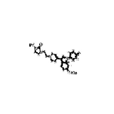 CSc1ccc2c(C3=CCN(CCN4CCN(C(C)C)C4=O)CC3)cn(-c3ccc(F)cc3)c2c1